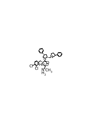 C[C@H](N)C(=O)N[C@@H](Cc1ccc(Cl)c(Cl)c1)C(=O)N1C[C@@H](c2ccccc2)C[C@H]1CN1CCC(c2ccccc2)C1